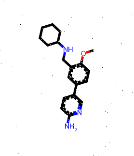 COc1ccc(-c2ccc(N)nc2)cc1CNC1CCCCC1